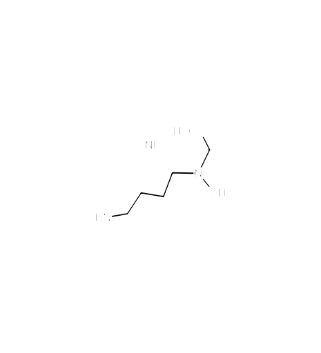 CN(CCCCN)CC(=O)O.N